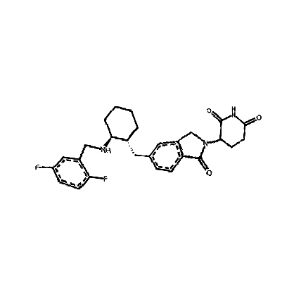 O=C1CCC(N2Cc3cc(C[C@H]4CCCC[C@@H]4NCc4cc(F)ccc4F)ccc3C2=O)C(=O)N1